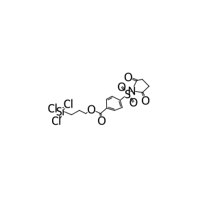 O=C(OCCC[Si](Cl)(Cl)Cl)c1ccc(S(=O)(=O)N2C(=O)CCC2=O)cc1